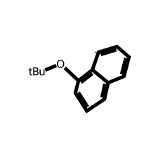 CC(C)(C)Oc1cccc2ccc[c]c12